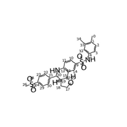 Cc1ccc(NS(=O)(=O)c2ccc3c(c2)[C@H]2OCC[C@H]2C(c2ccc(S(C)(=O)=O)cc2)N3)cc1C